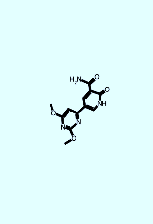 COc1cc(-c2c[nH]c(=O)c(C(N)=O)c2)nc(OC)n1